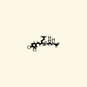 CC(C)CCC(/C=C/c1ccc(Cl)c(Cl)c1)=N\OC[C@H](O)CNC1CC1